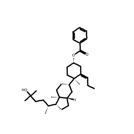 CC/C=C1/C[C@@H](OC(=O)c2ccccc2)CC[C@]1(C)[C@H]1CC[C@@]2(C)[C@@H](CC[C@@H]2[C@H](C)CCC(C)(C)O)C1